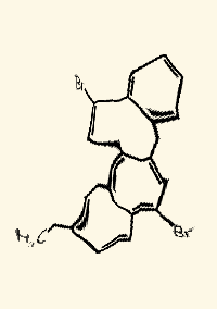 Cc1ccc2c(Br)cc3c4ccccc4c(Br)cc3c2c1